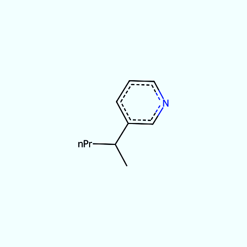 CCCC(C)c1cccnc1